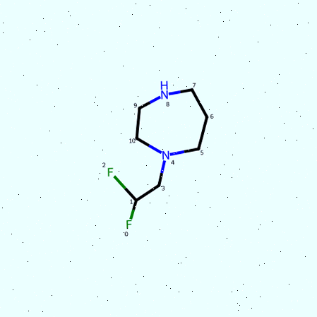 FC(F)CN1CCCNCC1